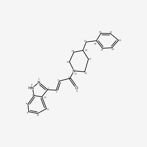 O=C(/C=C/c1n[nH]c2ccccc12)N1CCC(Cc2ccccc2)CC1